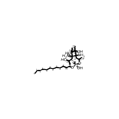 CCCCCCCCCCCCOP(=O)(O)OC(C)CC(N)(CC(C)O)C(N)(CC(C)O)CC(C)O